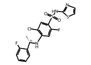 C[C@H](Nc1cc(F)c(S(=O)(=O)Nc2nccs2)cc1Cl)c1ccccc1F